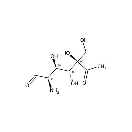 CC(=O)[C@@](O)(CO)[C@H](O)[C@H](O)[C@@H](N)C=O